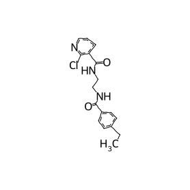 CCc1ccc(C(=O)NCCNC(=O)c2cccnc2Cl)cc1